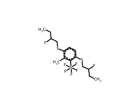 CCC(F)CSc1ccc(SCC(F)CC)c(S(F)(F)(F)(F)F)c1C